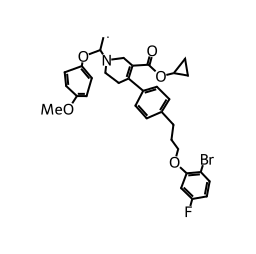 [CH2]C(Oc1ccc(OC)cc1)N1CCC(c2ccc(CCCOc3cc(F)ccc3Br)cc2)=C(C(=O)OC2CC2)C1